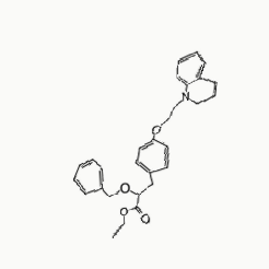 CCOC(=O)C(Cc1ccc(OCCN2CCCc3ccccc32)cc1)OCc1ccccc1